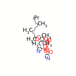 Cc1c(C)c2c(c(C)c1OC(=O)OCC(COC(=O)c1cccnc1)OC(=O)c1cccnc1)CCC(C)(CCCC(C)CCCC(C)CCCC(C)C)O2